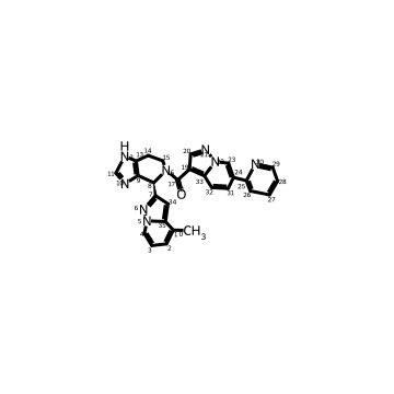 Cc1cccn2nc([C@H]3c4nc[nH]c4CCN3C(=O)c3cnn4cc(-c5ccccn5)ccc34)cc12